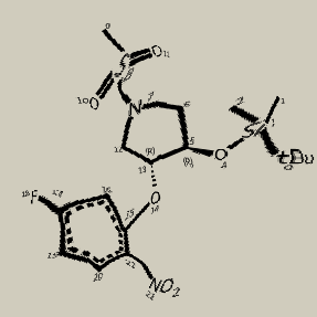 CC(C)(C)[Si](C)(C)O[C@@H]1CN(S(C)(=O)=O)C[C@H]1Oc1cc(F)ccc1[N+](=O)[O-]